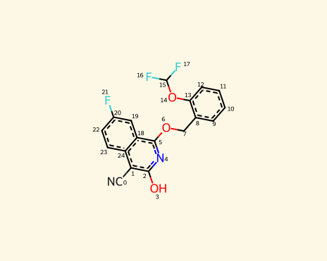 N#Cc1c(O)nc(OCc2ccccc2OC(F)F)c2cc(F)ccc12